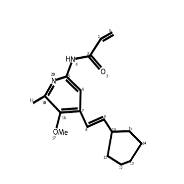 C=CC(=O)Nc1cc(/C=C/C2CCCCC2)c(OC)c(C)n1